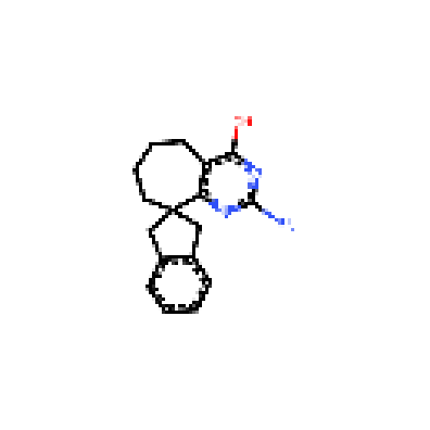 Nc1nc(O)c2c(n1)C1(CCCC2)Cc2ccccc2C1